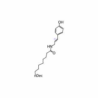 CCCCCCCCCCCCCCCCCC(=O)NC/C=C/c1ccc(O)cc1